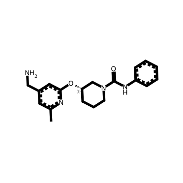 Cc1cc(CN)cc(O[C@H]2CCCN(C(=O)Nc3ccccc3)C2)n1